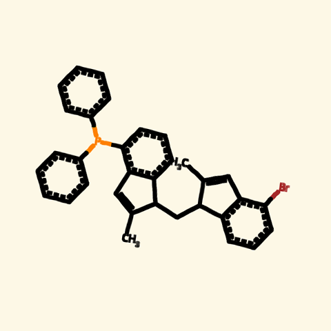 CC1=Cc2c(Br)cccc2C1CC1C(C)=Cc2c1cccc2P(c1ccccc1)c1ccccc1